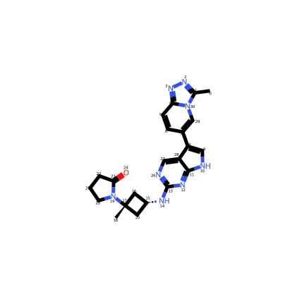 Cc1nnc2ccc(-c3c[nH]c4nc(N[C@H]5C[C@@](C)(N6CCCC6=O)C5)ncc34)cn12